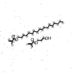 C=C(C)C(=O)OCC=CO.C=C(C)C(=O)OCCCCCCCCCCCCCCCCCC